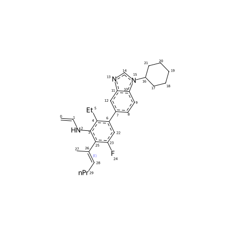 C=CNc1c(CC)c(-c2ccc3c(c2)ncn3C2CCCCC2)cc(F)c1/C(C)=C/CCC